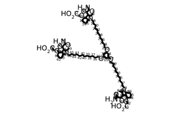 Cc1c(C(=O)C(N)=O)c2c(OCC(=O)O)cccc2n1CCCCCCCCCCCCOc1cc(OCCCCCCCCCCCCn2c(C)c(C(=O)C(N)=O)c3c(OCC(=O)O)cccc32)cc(OCCCCCCCCCCCCn2c(C)c(C(=O)C(N)=O)c3c(OCC(=O)O)cccc32)c1